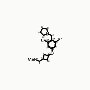 CNCC1CC(Oc2cc(F)c(CN3CCCC3)c(Cl)c2)C1